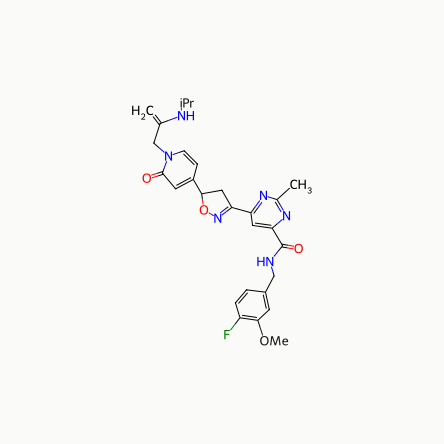 C=C(Cn1ccc(C2CC(c3cc(C(=O)NCc4ccc(F)c(OC)c4)nc(C)n3)=NO2)cc1=O)NC(C)C